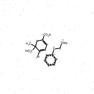 CC1(C(=O)O)CC(C(=O)O)=CC=C1Br.COCOc1ccccc1